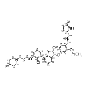 CCOc1cc(O[C@H]2CCc3c(-c4cccc(OCCCN5CCC(F)CC5)c4Cl)cccc32)c(Cl)cc1CNCC1CCC(=O)N1